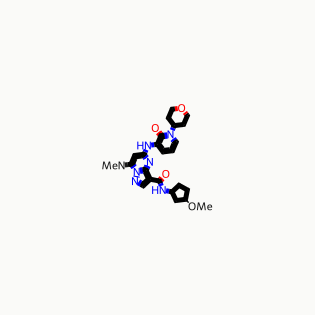 CNc1cc(Nc2cccn(C3CCOCC3)c2=O)nc2c(C(=O)NC3CC[C@H](OC)C3)cnn12